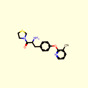 N#Cc1cccnc1Oc1ccc(CC(N)C(=O)N2CCSC2)cc1